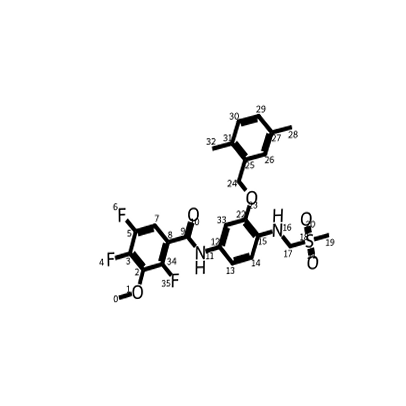 COc1c(F)c(F)cc(C(=O)Nc2ccc(NCS(C)(=O)=O)c(OCc3cc(C)ccc3C)c2)c1F